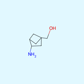 NC1CC2(CO)CC1C2